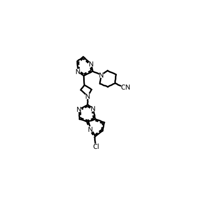 N#CC1CCN(c2nccnc2C2CN(c3ncc4nc(Cl)ccc4n3)C2)CC1